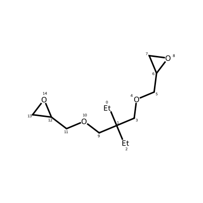 CCC(CC)(COCC1CO1)COCC1CO1